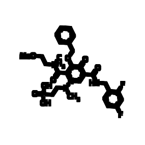 COCCN(C)C(=O)c1c(OCc2ccccc2)c(=O)c(C(=O)NCc2ccc(F)cc2F)cn1N(C)CCP(=O)(O)O